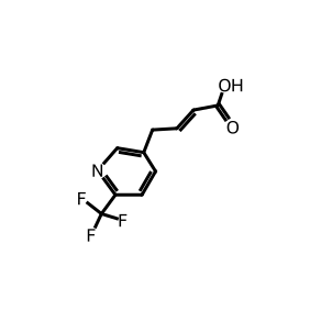 O=C(O)C=CCc1ccc(C(F)(F)F)nc1